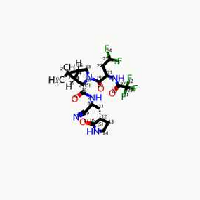 CC1(C)[C@@H]2[C@@H](C(=O)NC(C#N)C[C@@H]3CCNC3=O)N(C(=O)C(CC(F)F)NC(=O)C(F)(F)F)C[C@@H]21